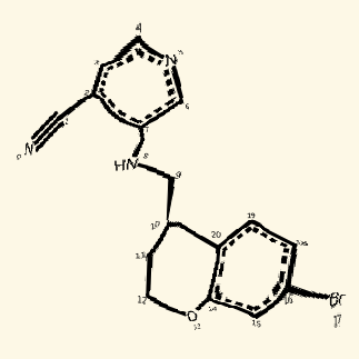 N#Cc1ccncc1NC[C@@H]1CCOc2cc(Br)ccc21